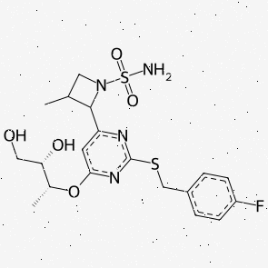 CC1CN(S(N)(=O)=O)C1c1cc(O[C@H](C)[C@@H](O)CO)nc(SCc2ccc(F)cc2)n1